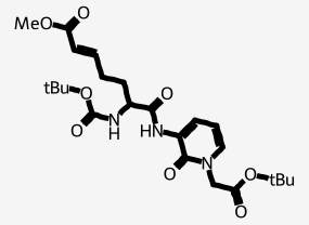 COC(=O)C=CCCC(NC(=O)OC(C)(C)C)C(=O)Nc1cccn(CC(=O)OC(C)(C)C)c1=O